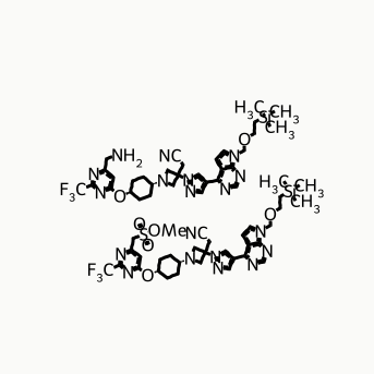 COS(=O)(=O)Cc1cc(O[C@H]2CC[C@@H](N3CC(CC#N)(n4cc(-c5ncnc6c5ccn6COCC[Si](C)(C)C)cn4)C3)CC2)nc(C(F)(F)F)n1.C[Si](C)(C)CCOCn1ccc2c(-c3cnn(C4(CC#N)CN([C@H]5CC[C@H](Oc6cc(CN)nc(C(F)(F)F)n6)CC5)C4)c3)ncnc21